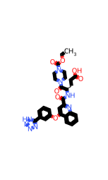 CCOC(=O)N1CCN(C(=O)[C@H](CCC(=O)O)NC(=O)c2cc(Oc3cccc(-c4nnn[nH]4)c3)c3ccccc3n2)CC1